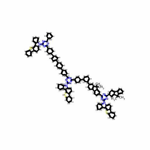 CC1(C)c2ccccc2-c2ccc(-c3nc(-c4ccc5c(c4)C(C)(C)c4cc(-c6cccc(-c7ccc(-c8nc(-c9ccc(-c%10ccc(-c%11ccc(-c%12ccc(-c%13nc(-c%14ccccc%14)nc(-n%14c%15ccccc%15c%15c%16sc%17ccccc%17c%16ccc%15%14)n%13)cc%12)cc%11)cc%10)cc9)nc(-n9c%10ccccc%10c%10c%11sc%12ccccc%12c%11ccc%109)n8)cc7)c6)ccc4-5)nc(-n4c5ccccc5c5c6sc7ccccc7c6ccc54)n3)cc21